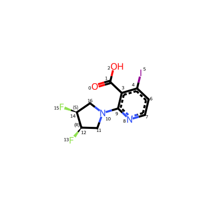 O=C(O)c1c(I)ccnc1N1C[C@@H](F)[C@@H](F)C1